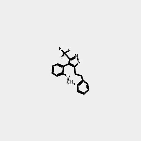 COc1ccccc1-c1c(C(F)(F)F)nsc1CCc1ccccc1